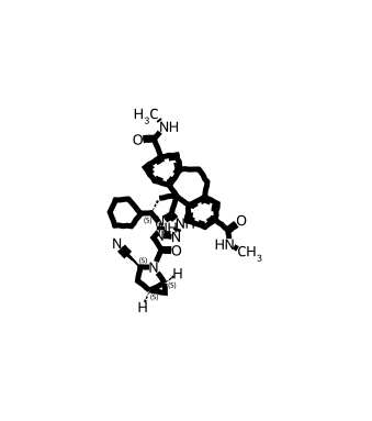 CNC(=O)c1ccc2c(c1)CCc1cc(C(=O)NC)ccc1C2(C[C@H](NCC(=O)N1[C@H](C#N)C[C@@H]2C[C@@H]21)C1CCCCC1)c1nnn[nH]1